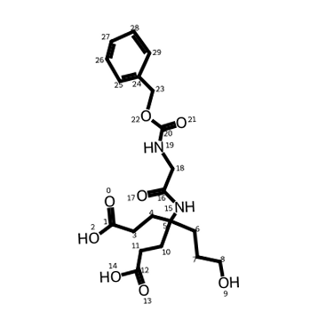 O=C(O)CCC(CCCO)(CCC(=O)O)NC(=O)CNC(=O)OCc1ccccc1